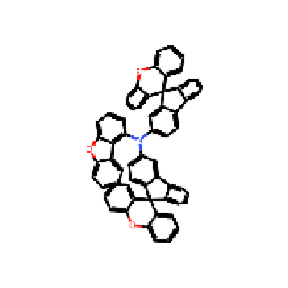 c1ccc2c(c1)Oc1ccccc1C21c2ccccc2-c2cc(N(c3ccc4c(c3)C3(c5ccccc5Oc5ccccc53)c3ccccc3-4)c3cccc4oc5ccccc5c34)ccc21